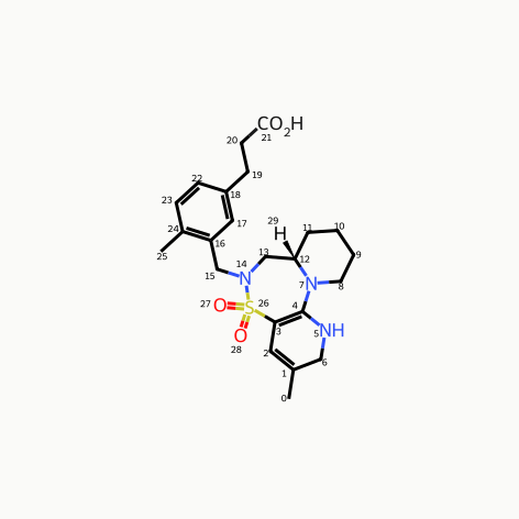 CC1=CC2=C(NC1)N1CCCC[C@H]1CN(Cc1cc(CCC(=O)O)ccc1C)S2(=O)=O